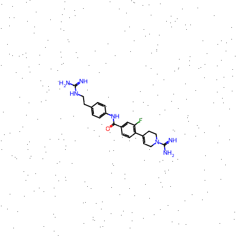 N=C(N)NCCc1ccc(NC(=O)c2ccc(C3=CCN(C(=N)N)CC3)c(F)c2)cc1